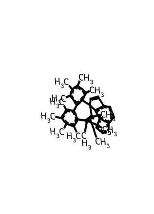 Cc1c(C)c(C)c2c(c1C)-c1c(C)c(C)c(C)c(C)c1C1(C=Cc3ccc4sccc4c31)c1c(C)c(C)c(C)c(C)c1-2